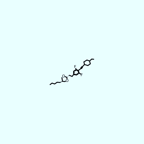 CCCCC[C@H]1CO[C@H](CCc2cc(F)c(C#CC3CCC(CC)CC3)c(F)c2)OC1